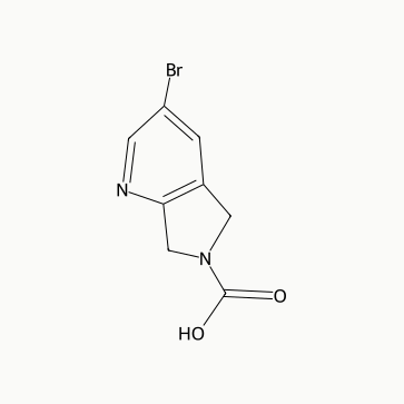 O=C(O)N1Cc2cc(Br)cnc2C1